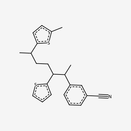 Cc1ccc(C(C)CCC(c2cccs2)C(C)c2cccc(C#N)c2)s1